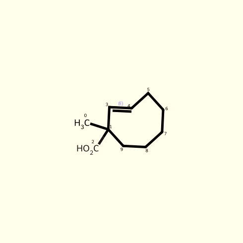 CC1(C(=O)O)/C=C/CCCCC1